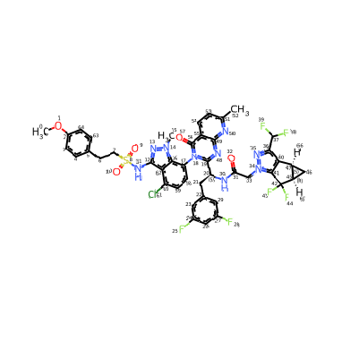 COc1ccc(CCS(=O)(=O)Nc2nn(C)c3c(-n4c([C@H](Cc5cc(F)cc(F)c5)NC(=O)Cn5nc(C(F)F)c6c5C(F)(F)[C@@H]5C[C@H]65)nc5nc(C)ccc5c4=O)ccc(Cl)c23)cc1